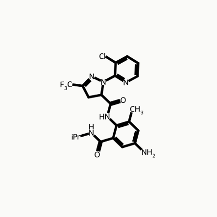 Cc1cc(N)cc(C(=O)NC(C)C)c1NC(=O)C1CC(C(F)(F)F)=NN1c1ncccc1Cl